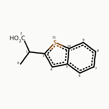 CC(C(=O)O)c1cc2ccccc2s1